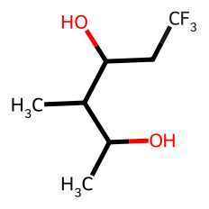 CC(O)C(C)C(O)CC(F)(F)F